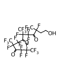 O=C(C(F)(F)C(F)(C(=O)C(F)(F)C(F)(C(=O)C(F)(F)C(F)(F)C(F)(F)F)C(F)(F)F)C(F)(F)F)C(F)(CCO)C(F)(F)F